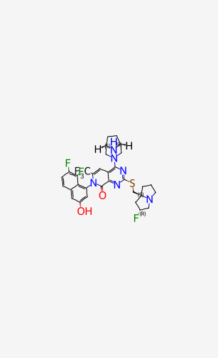 O=c1c2nc(SC[C@@]34CCCN3C[C@H](F)C4)nc(N3C[C@H]4CC[C@@H](C3)N4)c2cc(C(F)(F)F)n1-c1cc(O)cc2ccc(F)c(F)c12